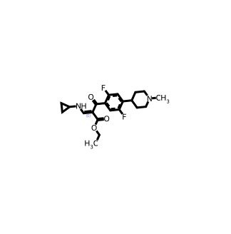 CCOC(=O)/C(=C/NC1CC1)C(=O)c1cc(F)c(C2CCN(C)CC2)cc1F